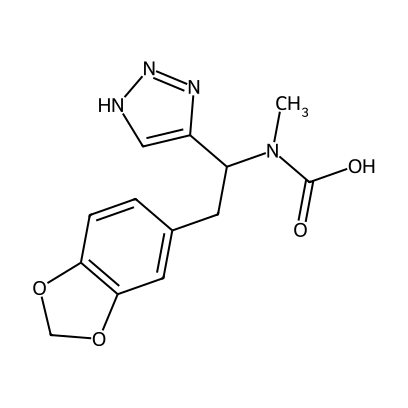 CN(C(=O)O)C(Cc1ccc2c(c1)OCO2)c1c[nH]nn1